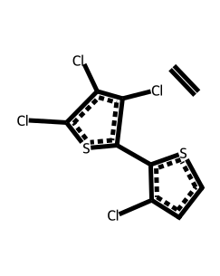 C=C.Clc1ccsc1-c1sc(Cl)c(Cl)c1Cl